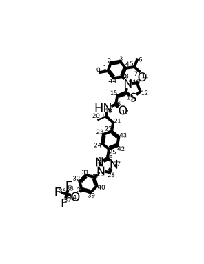 Cc1ccc(C(C)C)c(N2C(=O)CS/C2=C\C(=O)N[C@H](C)Cc2ccc(-c3ncn(-c4ccc(OC(F)(F)F)cc4)n3)cc2)c1